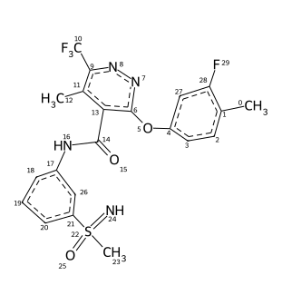 Cc1ccc(Oc2nnc(C(F)(F)F)c(C)c2C(=O)Nc2cccc(S(C)(=N)=O)c2)cc1F